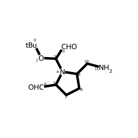 CC(C)(C)OC(C=O)N1C(C=O)CCC1CN